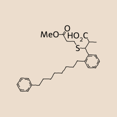 COC(=O)CCSC(c1ccccc1CCCCCCCCc1ccccc1)C(C)C(=O)O